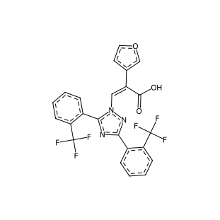 O=C(O)C(=Cn1nc(-c2ccccc2C(F)(F)F)nc1-c1ccccc1C(F)(F)F)c1ccoc1